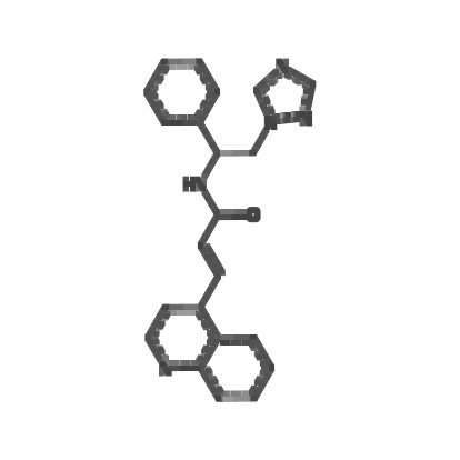 O=C(/C=C/c1ccnc2ccccc12)NC(Cn1cncn1)c1ccccc1